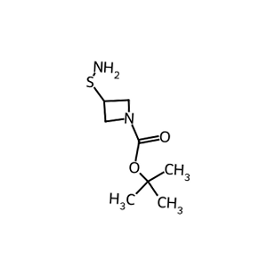 CC(C)(C)OC(=O)N1CC(SN)C1